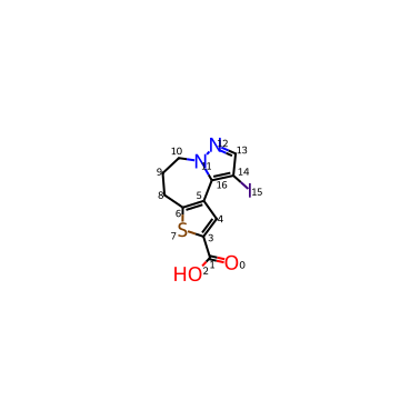 O=C(O)c1cc2c(s1)CCCn1ncc(I)c1-2